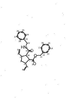 C=CC1CC(C=C)C(C(=O)OCc2ccccc2)C1C(=O)NCc1ccccc1